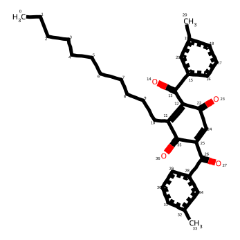 CCCCCCCCCCCC1=C(C(=O)c2cccc(C)c2)C(=O)C=C(C(=O)c2cccc(C)c2)C1=O